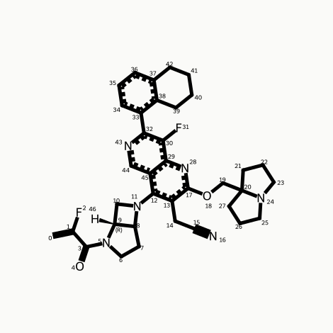 C=C(F)C(=O)N1CCC2[C@H]1CN2c1c(CC#N)c(OCC23CCCN2CCC3)nc2c(F)c(-c3cccc4c3CCCC4)ncc12